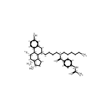 CCCCCCN(CCCC[C@@H]1Cc2cc(O)ccc2C2C1C1CC[C@H](O)[C@@]1(C)C[C@@H]2F)C(=O)c1ccc(NC(C)=O)cc1